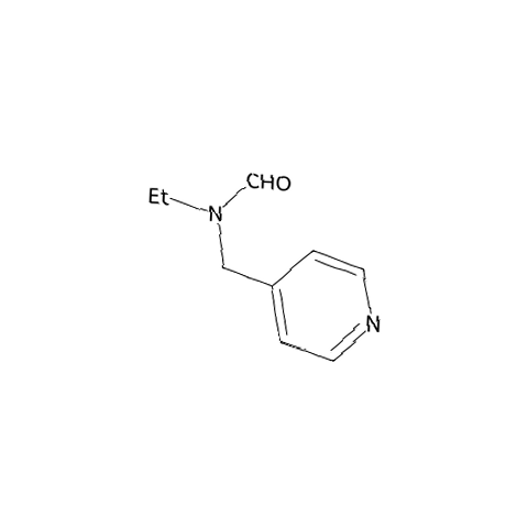 CCN(C=O)Cc1ccncc1